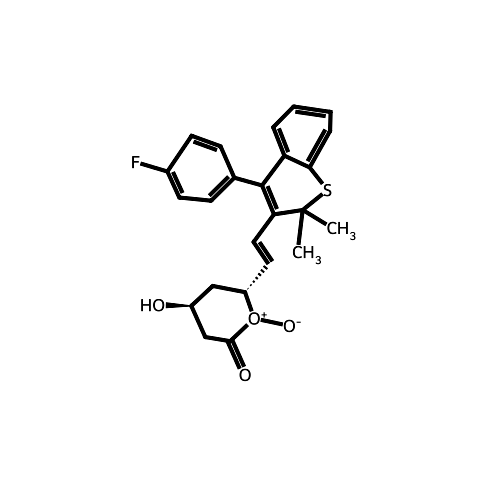 CC1(C)Sc2ccccc2C(c2ccc(F)cc2)=C1C=C[C@H]1C[C@H](O)CC(=O)[O+]1[O-]